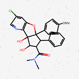 COc1ccc(C23Oc4cc(Cl)cnc4C2(O)C(O)C(C(=O)N(C)C)C3c2ccccc2)cc1